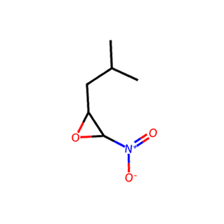 CC(C)CC1OC1[N+](=O)[O-]